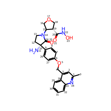 Cc1cc(COc2ccc([C@@]3(N)CCN(C4COC[C@@H]4C(=O)NO)C3=O)cc2)c2ccccc2n1